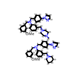 COc1cccc(CN(Cc2ccc(-n3cccn3)cc2)c2cccc(CN3CCCCC3)c2)c1.COc1cccc(CN(Cc2ccc(-n3cccn3)cc2)c2cccc(CN3CCN(C)CC3)c2)c1